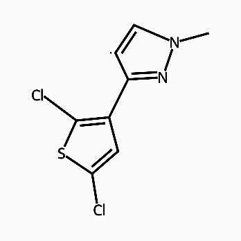 Cn1c[c]c(-c2cc(Cl)sc2Cl)n1